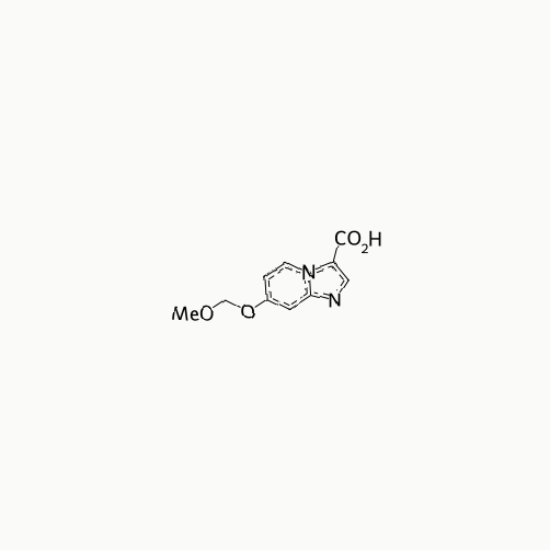 COCOc1ccn2c(C(=O)O)cnc2c1